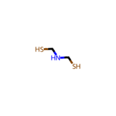 SCNCS